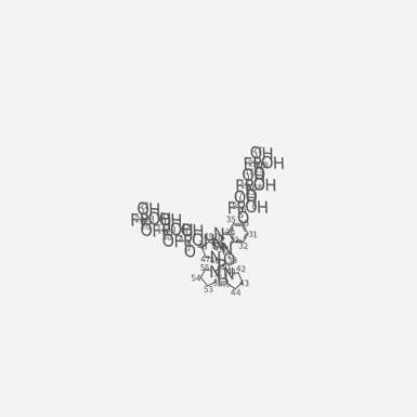 O=P(O)(O)F.O=P(O)(O)F.O=P(O)(O)F.O=P(O)(O)F.O=P(O)(O)F.O=P(O)(O)F.c1ccc2c(c1)nnn2O[PH](N1CCCC1)(N1CCCC1)N1CCCC1